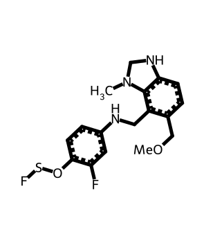 COCc1ccc2c(c1CNc1ccc(OSF)c(F)c1)N(C)CN2